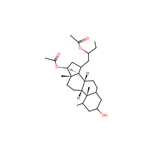 CCC(CC1CC(OC(C)=O)[C@@]2(C)CC[C@@H]3[C@@H](CCC4CC(O)CC(C)[C@@]43C)[C@H]12)OC(C)=O